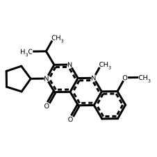 COc1cccc2c(=O)c3c(=O)n(C4CCCC4)c(C(C)C)nc3n(C)c12